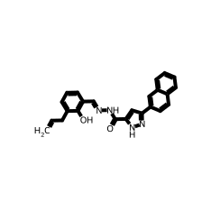 C=CCc1cccc(/C=N/NC(=O)c2cc(-c3ccc4ccccc4c3)n[nH]2)c1O